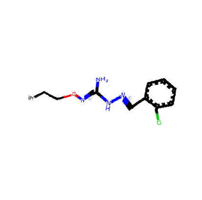 CC(C)CCO/N=C(\N)N/N=C/c1ccccc1Cl